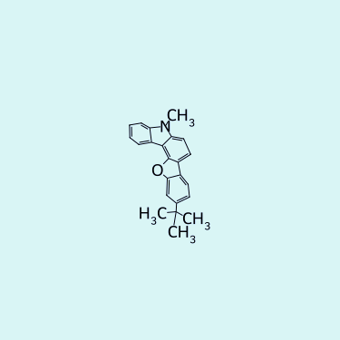 Cn1c2ccccc2c2c3oc4cc(C(C)(C)C)ccc4c3ccc21